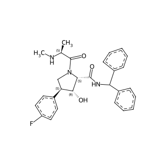 CN[C@@H](C)C(=O)N1C[C@H](c2ccc(F)cc2)[C@@H](O)[C@H]1C(=O)NC(c1ccccc1)c1ccccc1